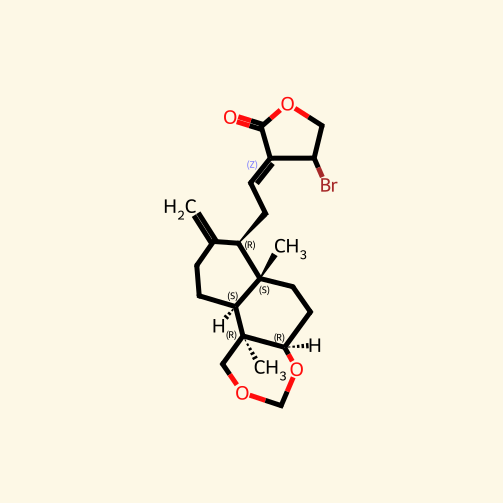 C=C1CC[C@@H]2[C@]3(C)COCO[C@@H]3CC[C@@]2(C)[C@@H]1C/C=C1/C(=O)OCC1Br